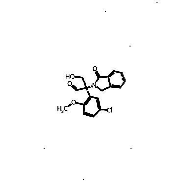 COc1ccc(Cl)cc1C(C=O)(CO)N1Cc2ccccc2C1=O